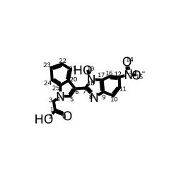 O=C(O)Cn1cc(-c2nc3ccc([N+](=O)[O-])cc3n2O)c2ccccc21